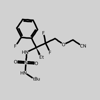 CC[C@@](NS(=O)(=O)NC(C)(C)C)(c1ccccc1F)C(F)(F)COCC#N